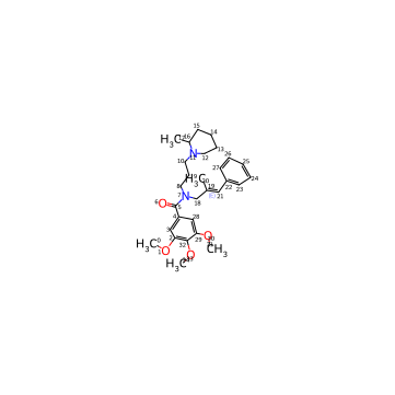 COc1cc(C(=O)N(CCCN2CCCCC2C)C/C(C)=C/c2ccccc2)cc(OC)c1OC